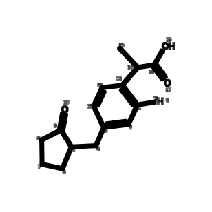 [2H]c1cc(CC2CCCC2=O)ccc1C(C)C(=O)O